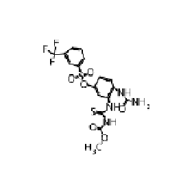 COC(=O)NC(=S)Nc1cc(OS(=O)(=O)c2cccc(C(F)(F)F)c2)ccc1NC(N)=O